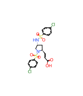 O=C(O)C=C[C@@H]1C[C@@H](NS(=O)(=O)c2ccc(Cl)cc2)CN1S(=O)(=O)c1ccc(Cl)cc1